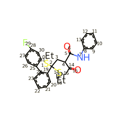 CCSC(CC(C(=O)Nc1ccccc1)C(=O)C(C)C)(SCC)c1ccccc1-c1ccc(F)cc1